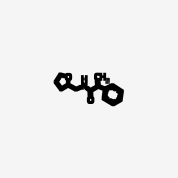 C=C(C(=O)NCC1CCCO1)c1ccccc1